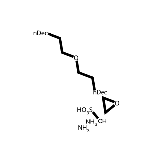 C1CO1.CCCCCCCCCCCCOCCCCCCCCCCCC.N.N.O=S(=O)(O)O